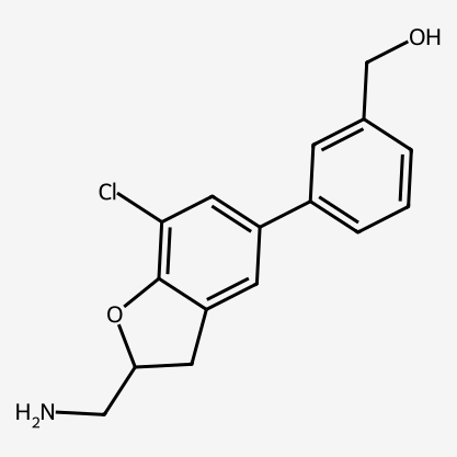 NCC1Cc2cc(-c3cccc(CO)c3)cc(Cl)c2O1